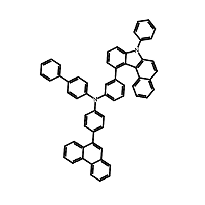 c1ccc(-c2ccc(N(c3ccc(-c4cc5ccccc5c5ccccc45)cc3)c3cccc(-c4cccc5c4c4c6ccccc6ccc4n5-c4ccccc4)c3)cc2)cc1